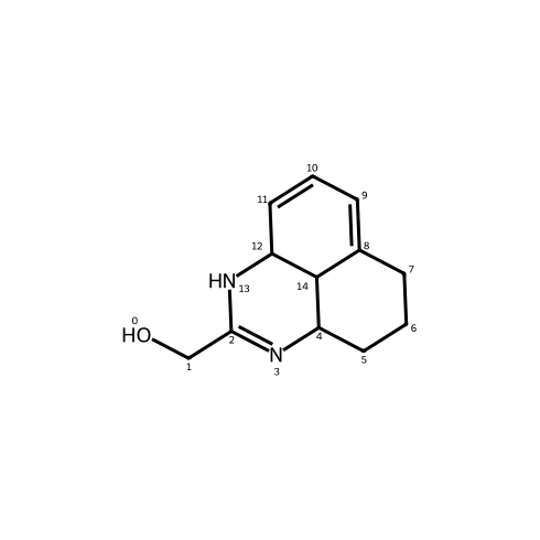 OCC1=NC2CCCC3=CC=CC(N1)C32